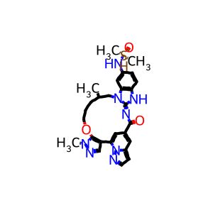 CC1CCCOc2c(cnn2C)-c2cc(cc3ccnn23)C(=O)/N=C2\Nc3ccc(N[SH](C)(C)=O)cc3N2C1